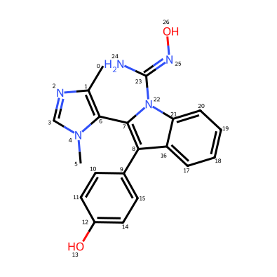 Cc1ncn(C)c1-c1c(-c2ccc(O)cc2)c2ccccc2n1/C(N)=N/O